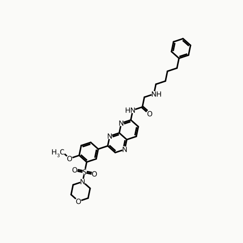 COc1ccc(-c2cnc3ccc(NC(=O)CNCCCCc4ccccc4)nc3n2)cc1S(=O)(=O)N1CCOCC1